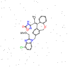 COCc1nc2c(Cl)cccc2n1Cc1ccc2c(c1)COc1ccccc1/C2=C(/c1noc(=O)[nH]1)C1CC1